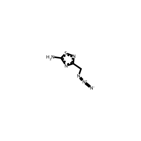 [N-]=[N+]=NCc1nsc(N)n1